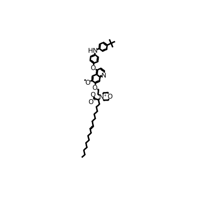 CCCCCCCCC=CCCCCCCC(C(=O)[O-])[N+]1(CCOc2cc3nccc(Oc4ccc(Nc5ccc(C(C)(C)C)cc5)cc4)c3cc2OC)CCOCC1